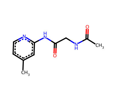 CC(=O)NCC(=O)Nc1cc(C)ccn1